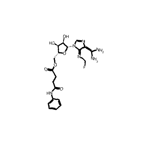 NC(N)=C1N=CN([C@@H]2O[C@H](COC(=O)CCC(=O)Nc3ccccc3)[C@@H](O)[C@H]2O)/C1=N/CF